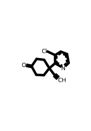 C#CC1(c2ncccc2Cl)CCC(=O)CC1